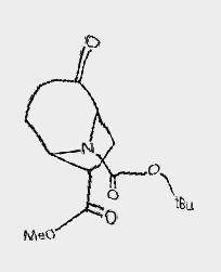 COC(=O)C1CC2C(=O)CCC1N2C(=O)OC(C)(C)C